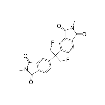 CN1C(=O)c2ccc(C(CF)(CF)c3ccc4c(c3)C(=O)N(C)C4=O)cc2C1=O